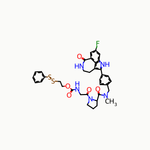 CN(Cc1ccc(-c2[nH]c3cc(F)cc4c3c2CCNC4=O)cc1)C(=O)C1CCCN1C(=O)CNC(=O)OCCSSc1ccccc1